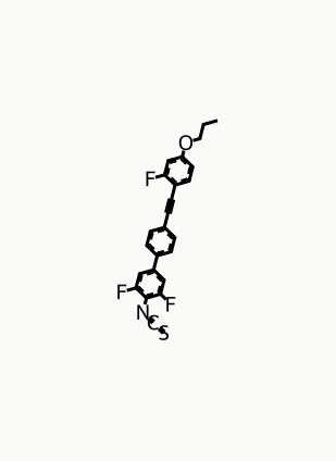 CCCOc1ccc(C#Cc2ccc(-c3cc(F)c(N=C=S)c(F)c3)cc2)c(F)c1